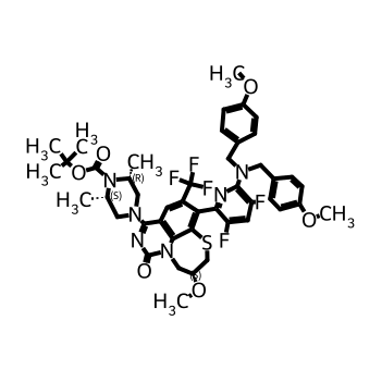 COc1ccc(CN(Cc2ccc(OC)cc2)c2nc(-c3c(C(F)(F)F)cc4c(N5C[C@@H](C)N(C(=O)OC(C)(C)C)[C@@H](C)C5)nc(=O)n5c4c3SC[C@@H](OC)C5)c(F)cc2F)cc1